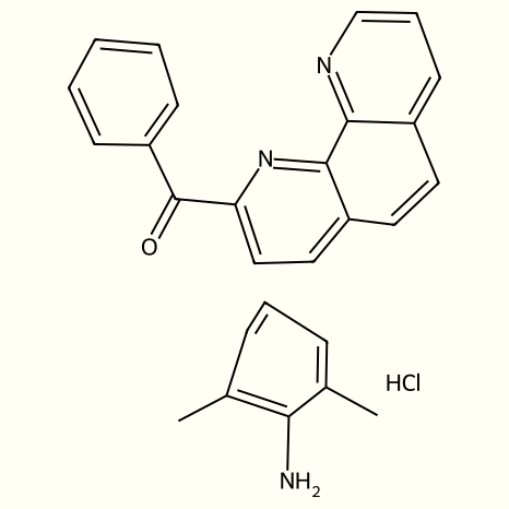 Cc1cccc(C)c1N.Cl.O=C(c1ccccc1)c1ccc2ccc3cccnc3c2n1